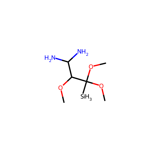 COC(C(N)N)C([SiH3])(OC)OC